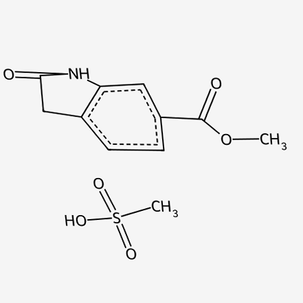 COC(=O)c1ccc2c(c1)NC(=O)C2.CS(=O)(=O)O